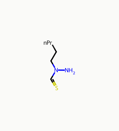 CCCCCN(N)C=S